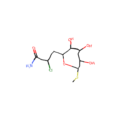 CSC1OC([CH]C(Cl)C(N)=O)C(O)C(O)C1O